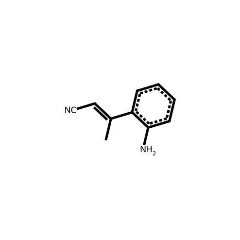 C/C(=C\C#N)c1ccccc1N